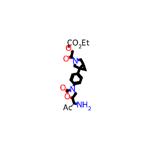 CCOC(=O)OCC(=O)N1CC2CC2(c2ccc(N3CC([C@H](N)C(C)=O)OC3=O)cc2)C1